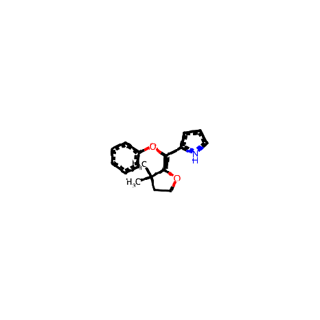 CC1(C)CCOC1=C(Oc1ccccc1)c1ccc[nH]1